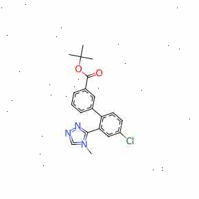 Cn1cnnc1-c1cc(Cl)ccc1-c1cccc(C(=O)OC(C)(C)C)c1